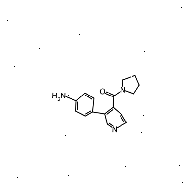 Nc1ccc(-c2cnccc2C(=O)N2CCCC2)cc1